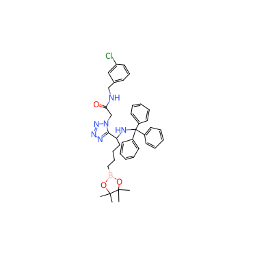 CC1(C)OB(CCCCC(NC(c2ccccc2)(c2ccccc2)c2ccccc2)c2nnnn2CC(=O)NCc2cccc(Cl)c2)OC1(C)C